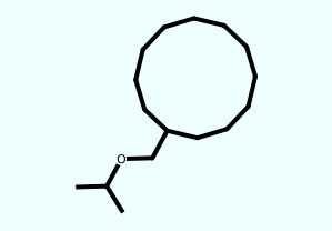 CC(C)OCC1CCCCCCCCCCC1